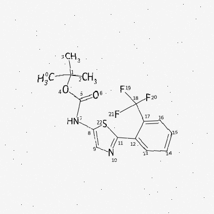 CC(C)(C)OC(=O)Nc1cnc(-c2ccccc2C(F)(F)F)s1